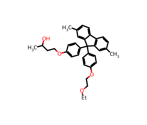 CCOCCOc1ccc(C2(c3ccc(OCCC(C)O)cc3)c3cc(C)ccc3-c3ccc(C)cc32)cc1